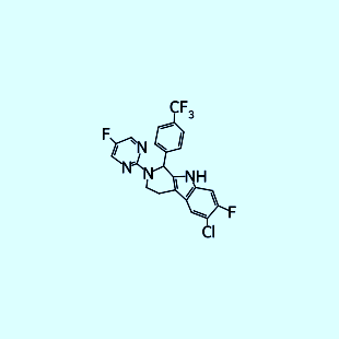 Fc1cnc(N2CCc3c([nH]c4cc(F)c(Cl)cc34)C2c2ccc(C(F)(F)F)cc2)nc1